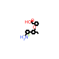 CCc1ccc(-c2cccc([C@@H](C)N)c2F)cc1COc1ccccc1CC(=O)O